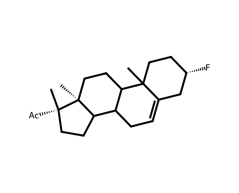 CC(=O)[C@@]1(C)CCC2C3CC=C4C[C@@H](F)CCC4(C)C3CC[C@@]21C